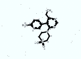 CCc1ncnc(N2CCS(=O)(=O)CC2)c1-c1ccc(N)nc1